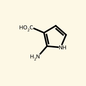 Nc1[nH]ccc1C(=O)O